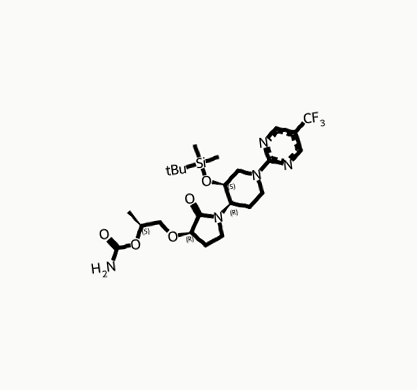 C[C@@H](CO[C@@H]1CCN([C@@H]2CCN(c3ncc(C(F)(F)F)cn3)C[C@@H]2O[Si](C)(C)C(C)(C)C)C1=O)OC(N)=O